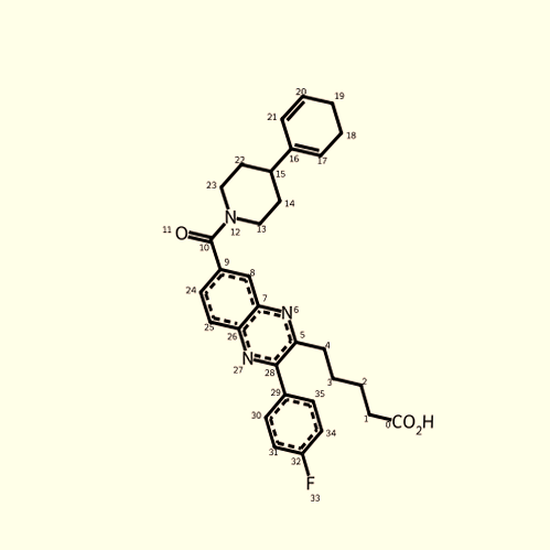 O=C(O)CCCCc1nc2cc(C(=O)N3CCC(C4=CCCC=C4)CC3)ccc2nc1-c1ccc(F)cc1